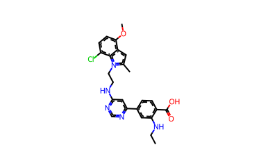 CCNc1cc(-c2cc(NCCn3c(C)cc4c(OC)ccc(Cl)c43)ncn2)ccc1C(=O)O